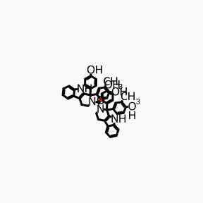 Cc1cc(C2(c3ccc(O)cc3)c3[nH]c4ccccc4c3CCN2C(=O)N2CCc3c([nH]c4ccccc34)C2(c2ccc(O)cc2)c2ccc(O)c(C)c2)ccc1O